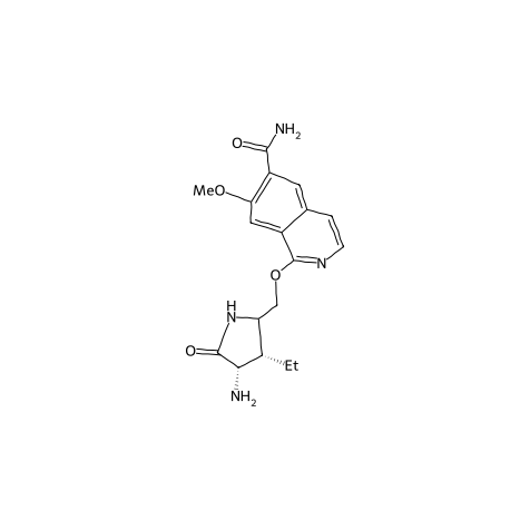 CC[C@H]1C(COc2nccc3cc(C(N)=O)c(OC)cc23)NC(=O)[C@H]1N